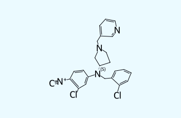 [C-]#[N+]c1ccc(N(Cc2ccccc2Cl)[C@H]2CCN(Cc3cccnc3)C2)cc1Cl